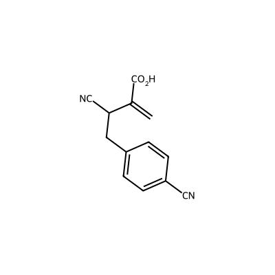 C=C(C(=O)O)C(C#N)Cc1ccc(C#N)cc1